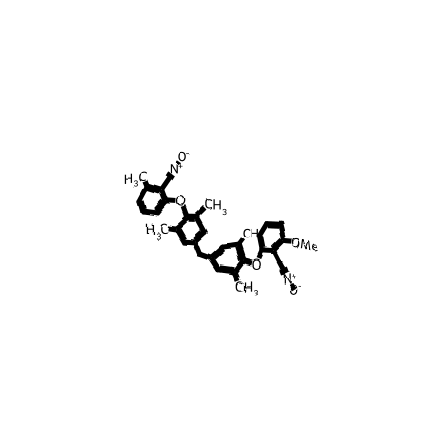 COc1cccc(Oc2c(C)cc(Cc3cc(C)c(Oc4cccc(C)c4C#[N+][O-])c(C)c3)cc2C)c1C#[N+][O-]